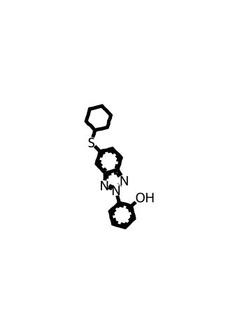 Oc1ccccc1-n1nc2ccc(SC3CCCCC3)cc2n1